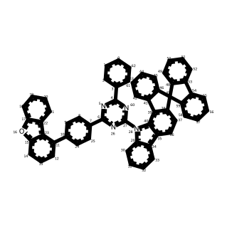 c1ccc(-c2nc(-c3ccc(-c4cccc5oc6ccccc6c45)cc3)nc(-n3c4ccccc4c4ccc5c(c43)-c3ccccc3C53c4ccccc4-c4ccccc43)n2)cc1